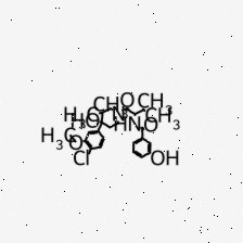 COc1cc(C2(O)CCN(C(=O)[C@H](NC(=O)c3cccc(O)c3)C(C)C)CC2(C)C)ccc1Cl